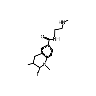 CNCCNC(=O)c1ccc2c(c1)CC(C)[C@H](F)N2C